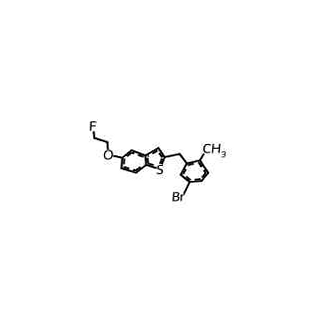 Cc1ccc(Br)cc1Cc1cc2cc(OCCF)ccc2s1